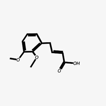 COc1cccc(CC=CC(=O)O)c1OC